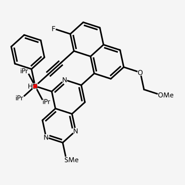 COCOc1cc(-c2cc3nc(SC)ncc3c(Nc3ccccc3)n2)c2c(C#C[Si](C(C)C)(C(C)C)C(C)C)c(F)ccc2c1